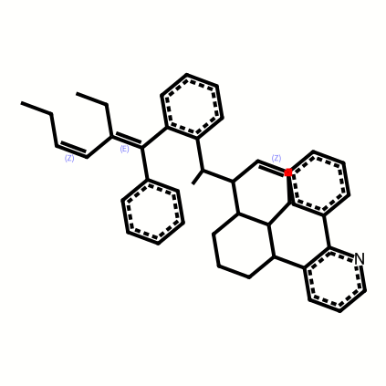 C/C=C\C(C(C)c1ccccc1/C(=C(/C=C\CC)CC)c1ccccc1)C1CCCC(c2cccnc2-c2ccccc2)C1C